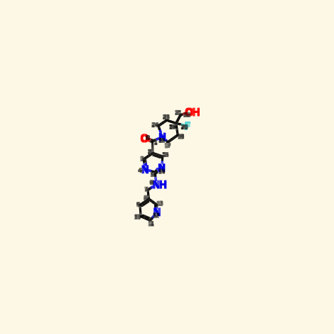 O=C(c1cnc(NCc2cccnc2)nc1)N1CCC(F)(CO)CC1